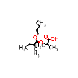 CC(C)C(=O)O.CCCCOC(=O)C(C)CC